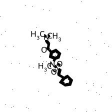 CN(C)/C=C/C(=O)c1cccc(N(C)S(=O)(=O)/C=C/c2ccccc2)c1